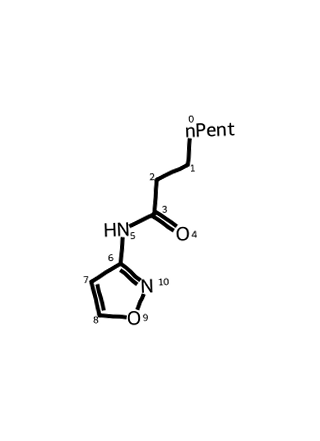 CCCCCCCC(=O)Nc1ccon1